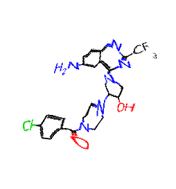 Nc1ccc2nc(C(F)(F)F)nc(N3CC(O)C(N4CCN(C(=O)c5ccc(Cl)cc5)CC4)C3)c2c1